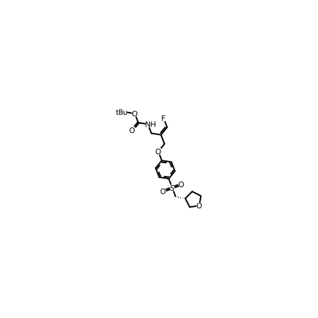 CC(C)(C)OC(=O)NC/C(=C\F)COc1ccc(S(=O)(=O)C[C@@H]2CCOC2)cc1